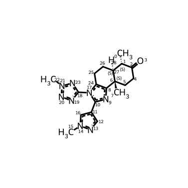 C[C@@H]1C(=O)CC[C@]2(C)c3nc(-c4cnn(C)c4)n(-c4nnn(C)n4)c3CC[C@@H]12